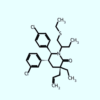 C=CC[C@@]1(CC)C[C@H](c2cccc(Cl)c2)[C@@H](c2ccc(Cl)cc2)N(C(CC)CSCC)C1=O